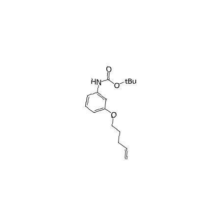 C=CCCCOc1cccc(NC(=O)OC(C)(C)C)c1